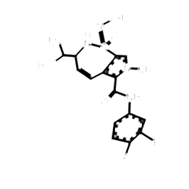 CN=S1(=O)NC(C(C)C)C=Cc2c1cn(C)c2C(=O)Nc1ccc(F)c(F)c1